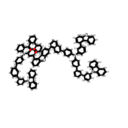 c1cc(-c2ccc(N(c3ccc(-c4ccc5c(-c6ccc7c(c6)oc6cccc(-c8cccc(N(c9ccc(-c%10cccc(-c%11cccc(-n%12c%13ccccc%13c%13ccccc%13%12)c%11)c%10)cc9)c9ccccc9-c9cc%10ccccc%10c%10ccccc9%10)c8)c67)cccc5c4)cc3)c3cccc(-c4cccc5oc6ccccc6c45)c3)cc2)cc(-c2cccc(-n3c4ccccc4c4ccccc43)c2)c1